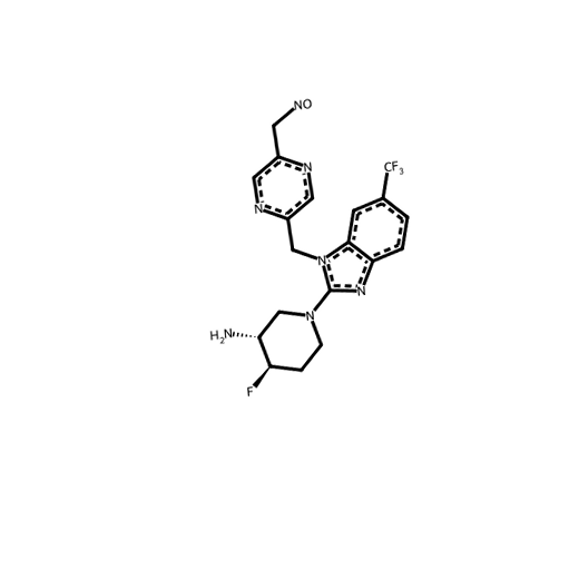 N[C@@H]1CN(c2nc3ccc(C(F)(F)F)cc3n2Cc2cnc(CN=O)cn2)CC[C@H]1F